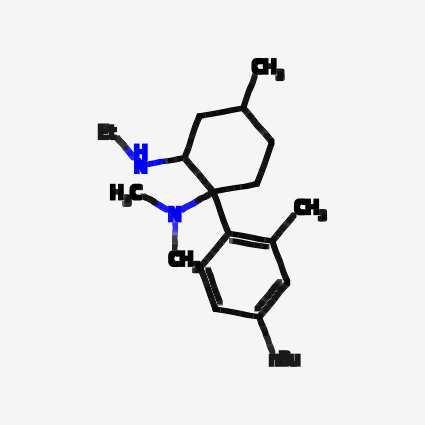 CCCCc1ccc(C2(N(C)C)CCC(C)CC2NCC)c(C)c1